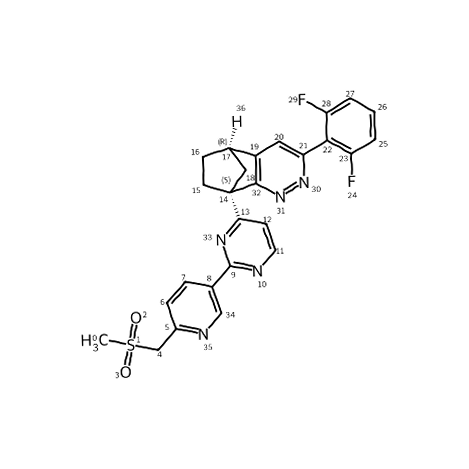 CS(=O)(=O)Cc1ccc(-c2nccc([C@]34CC[C@H](C3)c3cc(-c5c(F)cccc5F)nnc34)n2)cn1